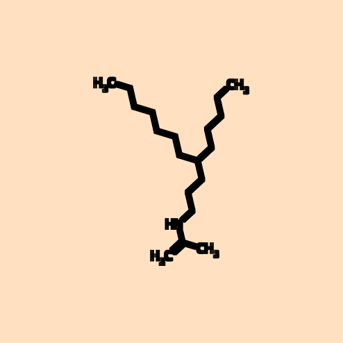 C=C(C)NCCCC(CCCCC)CCCCCCC